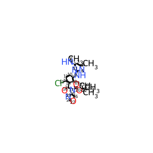 CNc1cc(C)nc(Nc2ccc(Cl)c(C(=O)N(C(=O)OC(C)(C)C)c3cocn3)c2)n1